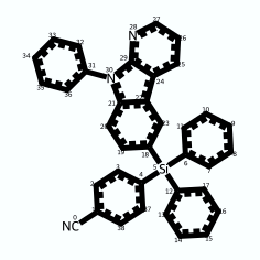 N#Cc1ccc([Si](c2ccccc2)(c2ccccc2)c2ccc3c(c2)c2cccnc2n3-c2ccccc2)cc1